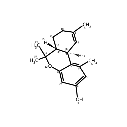 CC1=C[C@H]2c3c(C)cc(O)cc3OC(C)(C)[C@@H]2CC1